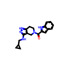 O=C(c1cc2ccccc2[nH]1)N1CCc2[nH]nc(NCC3CC3)c2C1